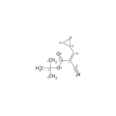 CC(C)(C)OC(=O)C(C#N)=CC1CC1